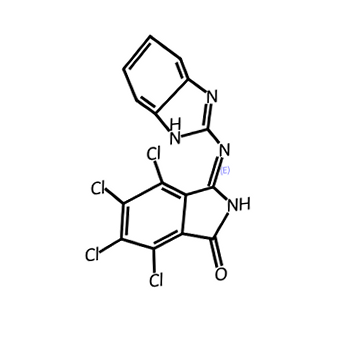 O=C1N/C(=N/c2nc3ccccc3[nH]2)c2c(Cl)c(Cl)c(Cl)c(Cl)c21